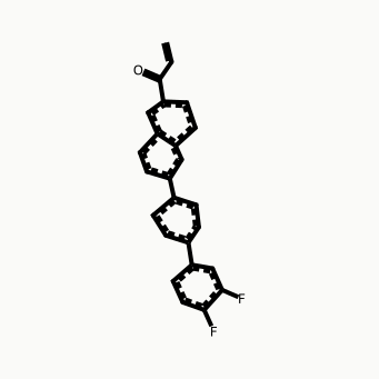 C=CC(=O)c1ccc2cc(-c3ccc(-c4ccc(F)c(F)c4)cc3)ccc2c1